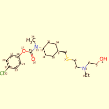 CCN(CCO)CCSC[C@H]1CC[C@H](N(C)C(=O)Oc2ccc(Cl)cc2)CC1